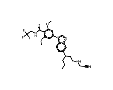 CCCC(CCNCC#N)c1ccc2c(c1)ncn2-c1cc(OC)c(C(=O)NCC(F)(F)F)c(OC)c1